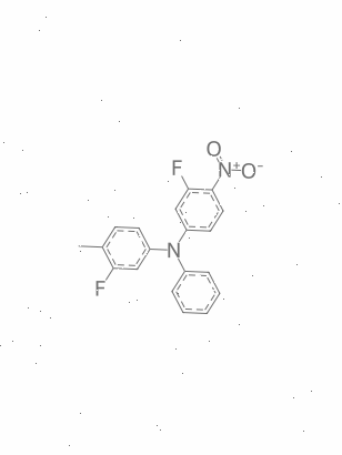 Cc1ccc(N(c2ccccc2)c2ccc([N+](=O)[O-])c(F)c2)cc1F